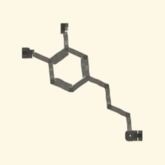 OCCCc1ccc(Br)c(F)c1